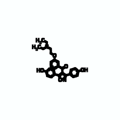 CCN(CC)CCOc1cccc(C(=O)c2c(-c3ccc(O)cc3)noc2-c2ccc(O)cc2)c1